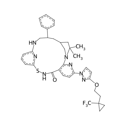 CC1(C)CC2CC(c3ccccc3)CNc3cccc(n3)SNC(=O)c3ccc(-n4ccc(OCCC5(C(F)(F)F)CC5)n4)nc3N1C2